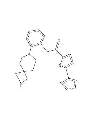 O=C(Cc1ccccc1C1CCC2(CC1)CNC2)c1csc(-c2cccs2)n1